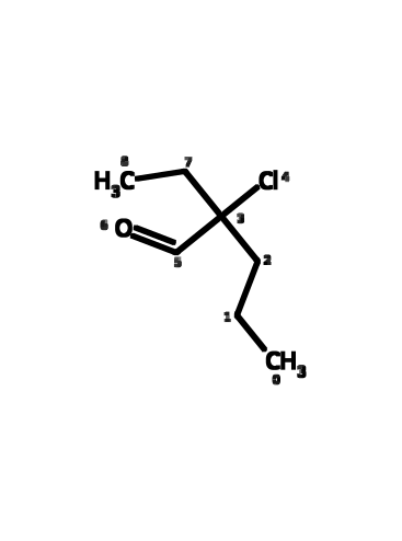 CCCC(Cl)(C=O)CC